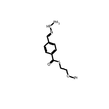 CC(C)OCCSC(=O)c1ccc(C=NPP)cc1